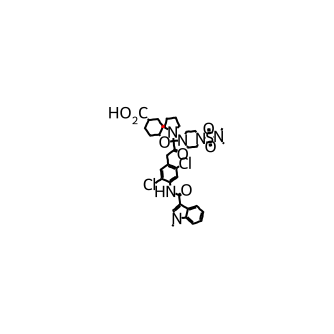 CN(C)S(=O)(=O)N1CCN(C(O[C@H]2CC[C@H](C(=O)O)CC2)(C(=O)Cc2cc(Cl)c(NC(=O)c3cn(C)c4ccccc34)cc2Cl)N2CCCC2)CC1